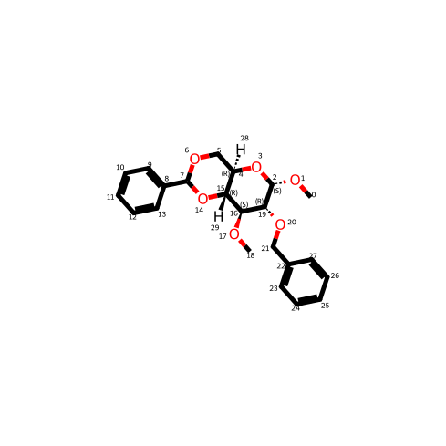 CO[C@H]1O[C@@H]2COC(c3ccccc3)O[C@H]2[C@H](OC)[C@H]1OCc1ccccc1